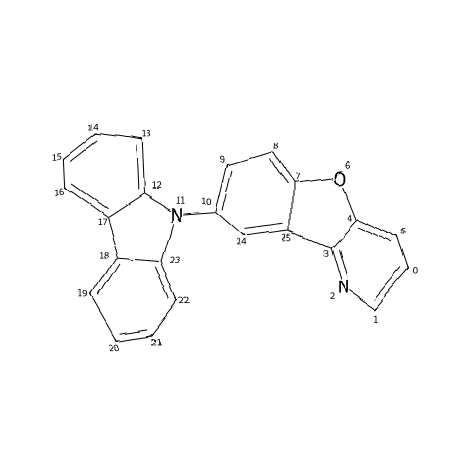 c1cnc2c(c1)oc1ccc(-n3c4ccccc4c4ccccc43)cc12